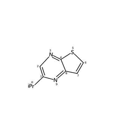 CC(C)c1cnc2sccc2n1